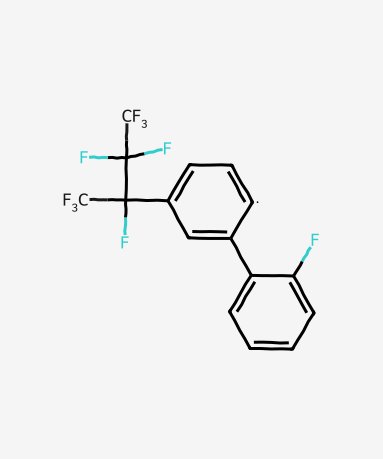 Fc1ccccc1-c1[c]ccc(C(F)(C(F)(F)F)C(F)(F)C(F)(F)F)c1